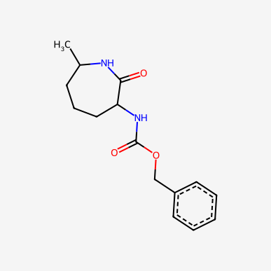 CC1CCCC(NC(=O)OCc2ccccc2)C(=O)N1